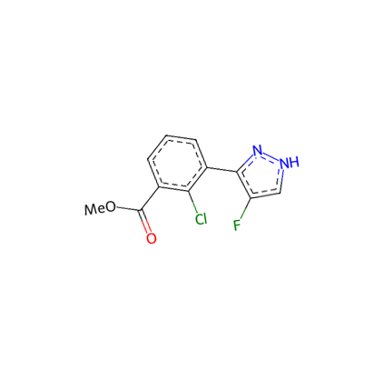 COC(=O)c1cccc(-c2n[nH]cc2F)c1Cl